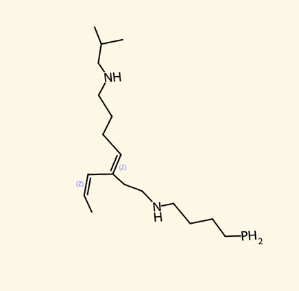 C/C=C\C(=C/CCCNCC(C)C)CCNCCCCP